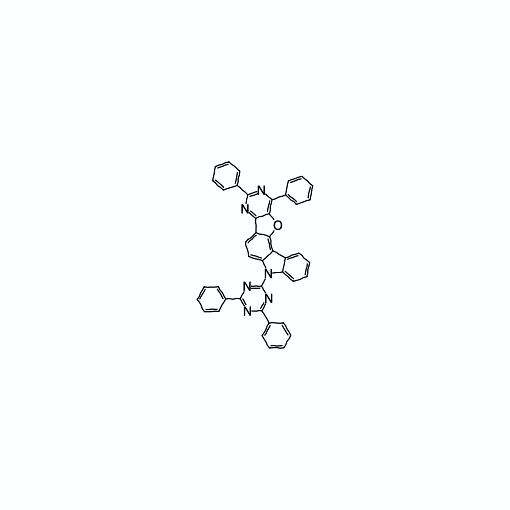 c1ccc(-c2nc(-c3ccccc3)nc(-n3c4ccccc4c4c5oc6c(-c7ccccc7)nc(-c7ccccc7)nc6c5ccc43)n2)cc1